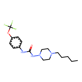 CCCCCN1CCN(NC(=O)Nc2ccc(OC(F)(F)F)cc2)CC1